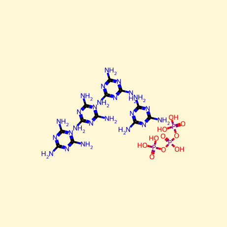 Nc1nc(N)nc(N)n1.Nc1nc(N)nc(N)n1.Nc1nc(N)nc(N)n1.Nc1nc(N)nc(N)n1.O=P(O)(O)OP(=O)(O)OP(=O)(O)O